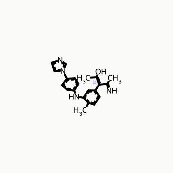 CC(=N)/C(=C(/C)O)c1ccc(C)c(Nc2ccc(-n3ccnc3)cc2)c1